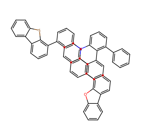 c1ccc(-c2ccccc2-c2c(-c3ccccc3)cccc2N(c2cccc(-c3cccc4c3oc3ccccc34)c2)c2cccc(-c3cccc4c3sc3ccccc34)c2)cc1